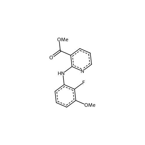 COC(=O)c1cccnc1Nc1cccc(OC)c1F